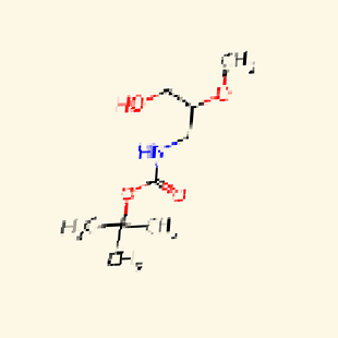 COC(CO)CNC(=O)OC(C)(C)C